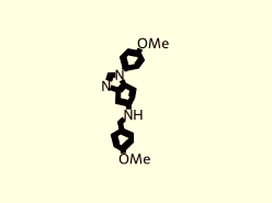 COc1ccc(CNc2ccc3c(c2)ncn3-c2ccc(OC)cc2)cc1